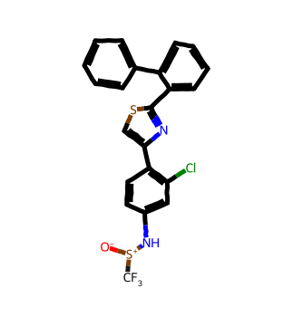 [O-][S+](Nc1ccc(-c2csc(-c3ccccc3-c3ccccc3)n2)c(Cl)c1)C(F)(F)F